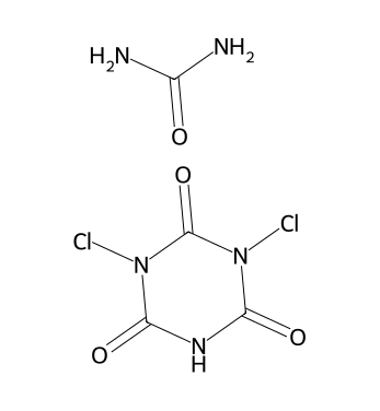 NC(N)=O.O=c1[nH]c(=O)n(Cl)c(=O)n1Cl